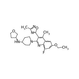 CCOc1cc(F)c2nc(N3CCC(N[C@H]4CCOC4)CC3)c(-c3nc(C)no3)c(C)c2c1